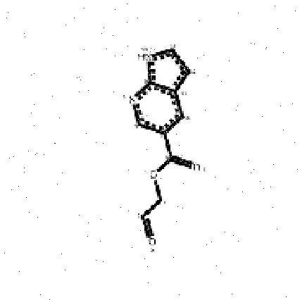 O=CCOC(=O)c1cnc2[nH]ccc2c1